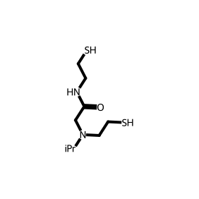 CC(C)N(CCS)CC(=O)NCCS